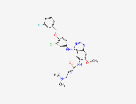 COc1cc2ncnc(Nc3ccc(OCc4cccc(F)c4)c(Cl)c3)c2cc1NC(=O)/C=C/CN(C)C